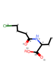 CCC(NC(=O)CCCCl)C(=O)O